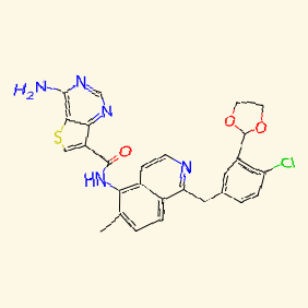 Cc1ccc2c(Cc3ccc(Cl)c(C4OCCO4)c3)nccc2c1NC(=O)c1csc2c(N)ncnc12